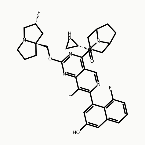 O=C([C@@H]1CN1)N1C2CCC1CN(c1nc(OC[C@@]34CCCN3C[C@H](F)C4)nc3c(F)c(-c4cc(O)cc5cccc(F)c45)ncc13)C2